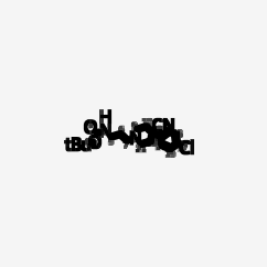 CC(C)(C)OC(=O)NCCCN1CCC(C#N)(c2ccc(Cl)cc2)CC1